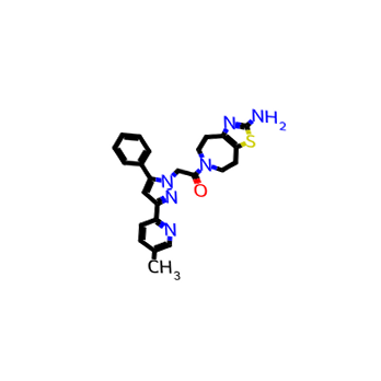 Cc1ccc(-c2cc(-c3ccccc3)n(CC(=O)N3CCc4nc(N)sc4CC3)n2)nc1